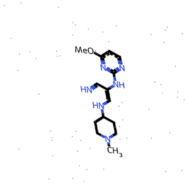 COc1ccnc(N/C(C=N)=C/NC2CCN(C)CC2)n1